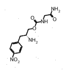 NC(=O)CNC(=O)OC[C@H](N)Cc1ccc([N+](=O)[O-])cc1